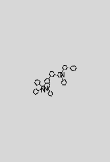 c1ccc(-c2cccc(-c3cc(-c4cccc(-c5ccc6c(c5)cc(-c5ccccc5)n5nc(-c7ccccc7)c(-c7ccccc7)c65)c4)cc(-c4ccccc4)n3)c2)cc1